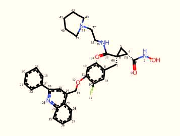 O=C(NO)[C@H]1C[C@]1(Cc1ccc(OCc2cc(-c3ccccc3)nc3ccccc23)c(F)c1)C(=O)NCCN1CCCCC1